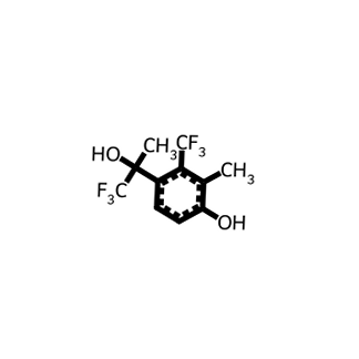 Cc1c(O)ccc(C(C)(O)C(F)(F)F)c1C(F)(F)F